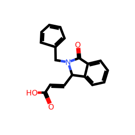 O=C(O)C=CC1c2ccccc2C(=O)N1Cc1ccccc1